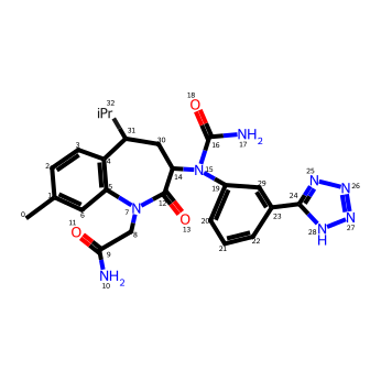 Cc1ccc2c(c1)N(CC(N)=O)C(=O)C(N(C(N)=O)c1cccc(-c3nnn[nH]3)c1)CC2C(C)C